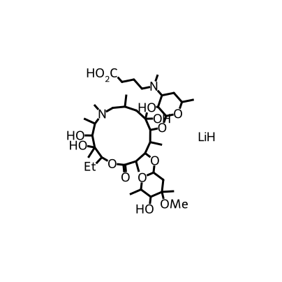 CCC1OC(=O)C(C)C(OC2CC(C)(OC)C(O)C(C)O2)C(C)C(OC2OC(C)CC(N(C)CCCC(=O)O)C2O)C(C)(O)CC(C)CN(C)C(C)C(O)C1(C)O.[LiH]